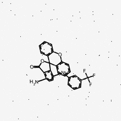 Nc1ccc(Nc2cccc(C(F)(F)F)c2)c2c1C(=O)OC21c2ccccc2Oc2ccccc21